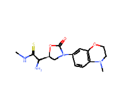 CNC(=S)C(N)[C@@H]1CN(c2ccc3c(c2)OCCN3C)C(=O)O1